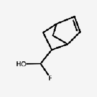 OC(F)C1CC2C=CC1C2